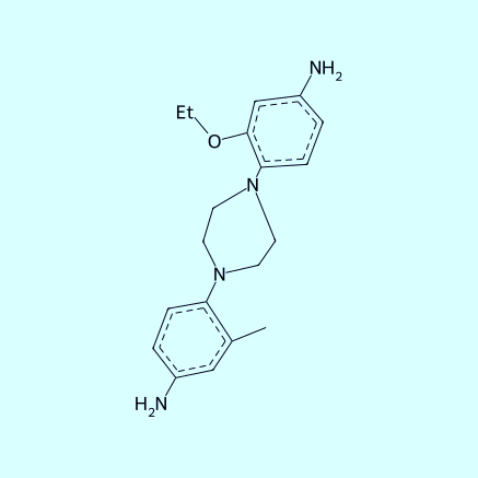 CCOc1cc(N)ccc1N1CCN(c2ccc(N)cc2C)CC1